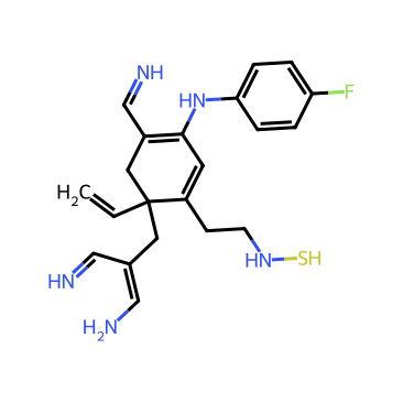 C=CC1(C/C(C=N)=C/N)CC(C=N)=C(Nc2ccc(F)cc2)C=C1CCNS